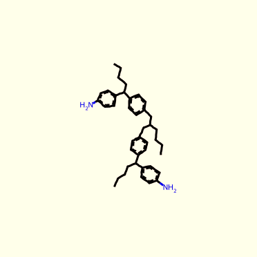 CCCCC(Cc1ccc(C(CCCC)c2ccc(N)cc2)cc1)Cc1ccc(C(CCCC)c2ccc(N)cc2)cc1